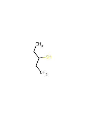 CC[C](S)CC